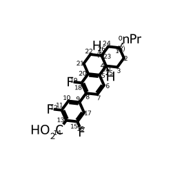 CCC[C@@H]1CC[C@@H]2c3ccc(-c4cc(F)c(C(=O)O)c(F)c4)c(F)c3CC[C@H]2C1